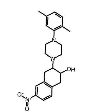 Cc1ccc(C)c(N2CCN(C3Cc4cc([N+](=O)[O-])ccc4CC3O)CC2)c1